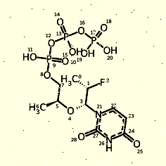 C[C@H](F)[C@@H](O[C@@H](C)COP(=O)(O)OP(=O)(O)OP(=O)(O)O)n1ccc(=O)[nH]c1=O